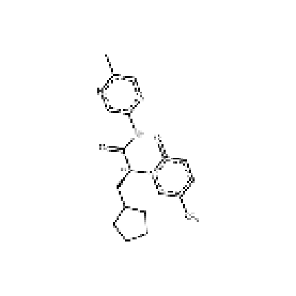 Cc1cnc(NC(=O)[C@H](CC2CCCC2)n2cc(C(F)(F)F)ccc2=O)cn1